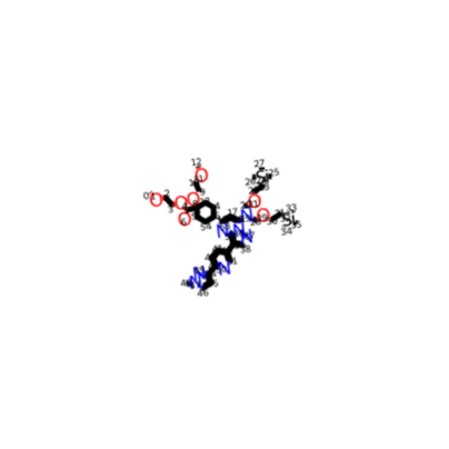 COCCOC(=O)[C@]1(OCCOC)CC[C@H](c2cc(N(COCC[Si](C)(C)C)COCC[Si](C)(C)C)n3ncc(-c4ccc(-c5ccn(C)n5)nc4)c3n2)CC1